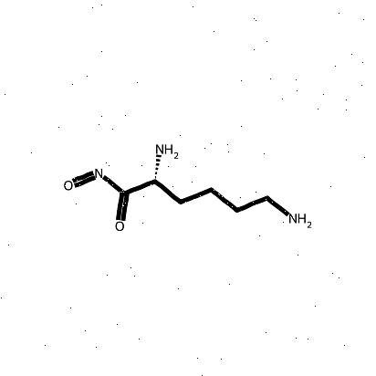 NCCCC[C@@H](N)C(=O)N=O